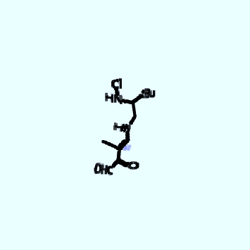 C/C(=C\NCC(NCl)C(C)(C)C)C(=O)C=O